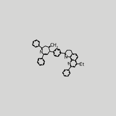 C=C1CC(c2ccccc2)=NC(c2ccccc2)=CC1c1ccc(C2=Nc3c(ccc4c(CC)cc(-c5ccccc5)nc34)CC2)cc1